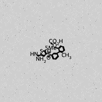 CSc1sc(C(=N)N)cc1S(=O)(=O)c1cccc(-c2c(C)cccc2COCC(=O)O)c1